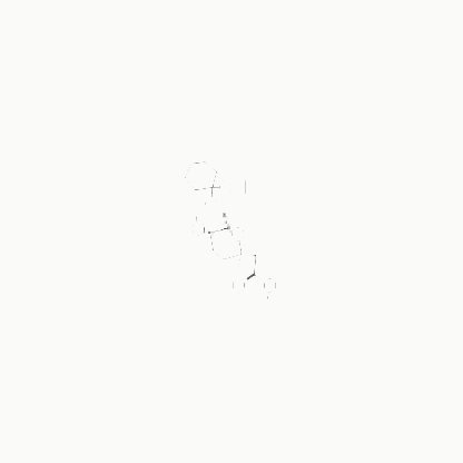 COC(=O)C[C@H]1CC[C@H](OC)[C@@H]([C@@H](C)OC2(O)CCCCC2)O1